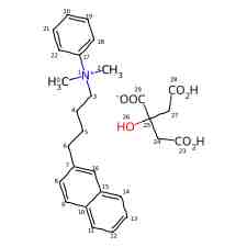 C[N+](C)(CCCCc1ccc2ccccc2c1)c1ccccc1.O=C(O)CC(O)(CC(=O)O)C(=O)[O-]